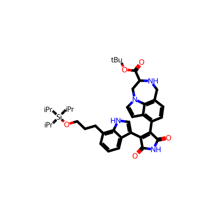 CC(C)[Si](OCCCc1cccc2c(C3=C(c4ccc5c6c4ccn6CC(C(=O)OC(C)(C)C)NC5)C(=O)NC3=O)c[nH]c12)(C(C)C)C(C)C